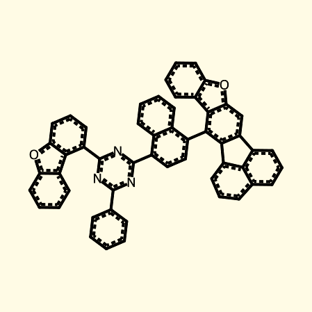 c1ccc(-c2nc(-c3ccc(-c4c5c(cc6oc7ccccc7c46)-c4cccc6cccc-5c46)c4ccccc34)nc(-c3cccc4oc5ccccc5c34)n2)cc1